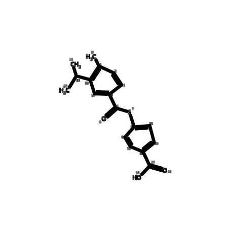 Cc1ccc(C(=O)Sc2ccc(C(=O)O)cc2)cc1C(C)C